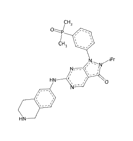 CC(C)n1c(=O)c2cnc(Nc3ccc4c(c3)CCNC4)nc2n1-c1cccc(P(C)(C)=O)c1